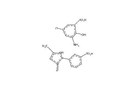 Cc1cc(=O)n(-c2cccc(S(=O)(=O)O)c2)[nH]1.Nc1cc(Cl)cc(S(=O)(=O)O)c1O